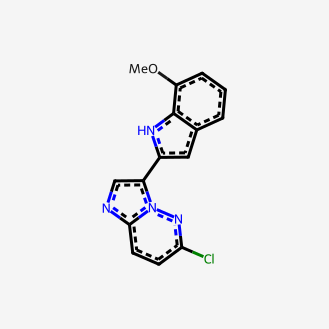 COc1cccc2cc(-c3cnc4ccc(Cl)nn34)[nH]c12